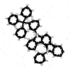 c1ccc(-n2c3ccccc3c3ccc4c(c5ccccc5n4-c4cccc(C(c5ccccc5)(c5ccccc5)c5ccccc5)c4)c32)cc1